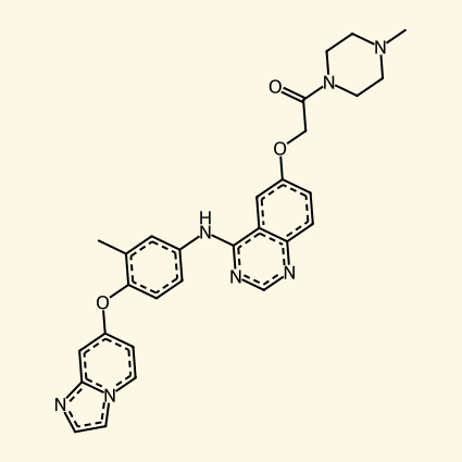 Cc1cc(Nc2ncnc3ccc(OCC(=O)N4CCN(C)CC4)cc23)ccc1Oc1ccn2ccnc2c1